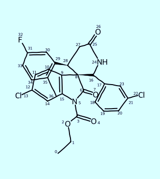 CCOC(=O)N1C(=O)[C@@]2(c3ccc(Cl)cc31)C(c1cccc(Cl)c1)NC(=O)C[C@@H]2c1cc(F)ccc1C